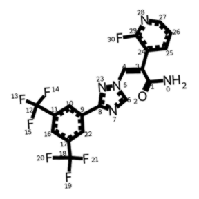 NC(=O)/C(=C\n1cnc(-c2cc(C(F)(F)F)cc(C(F)(F)F)c2)n1)c1cccnc1F